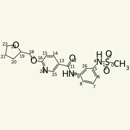 CS(=O)(=O)Nc1cccc(NC(=O)c2ccc(OCC3CCCO3)nc2)c1